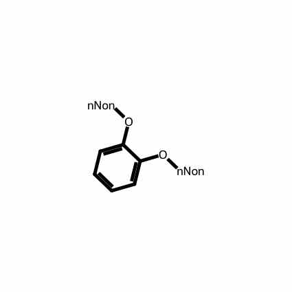 CCCCCCCCCOc1ccccc1OCCCCCCCCC